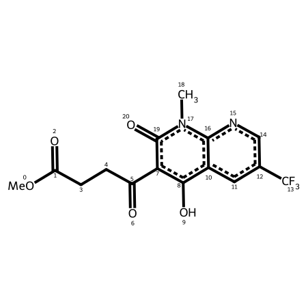 COC(=O)CCC(=O)c1c(O)c2cc(C(F)(F)F)cnc2n(C)c1=O